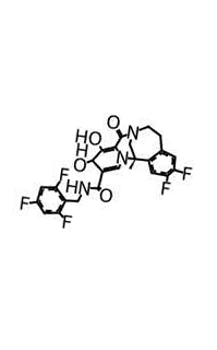 C[C@@]12CN(CCc3cc(F)c(F)cc31)C(=O)C1=C(O)C(O)C(C(=O)NCc3c(F)cc(F)cc3F)=CN12